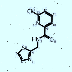 O=C(NCc1nccs1)c1cccc(Cl)n1